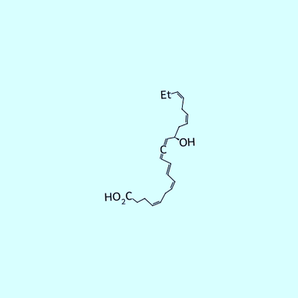 CC/C=C\C/C=C\C[C@@H](O)C=C=C/C=C/C=C\C/C=C\CCC(=O)O